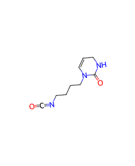 O=C=NCCCCN1C=CCNC1=O